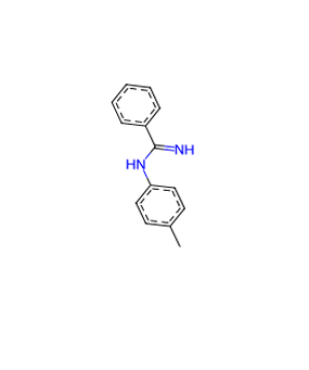 Cc1ccc(NC(=N)c2ccccc2)cc1